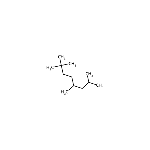 CC(C)CC(C)CCC(C)(C)C